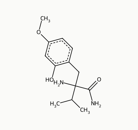 COc1ccc(CC(N)(C(N)=O)C(C)C)c(O)c1